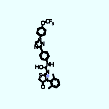 Cc1cccc(C)c1N1C(=O)CS/C1=N\C(O)Nc1ccc(-c2ncn(-c3ccc(OC(F)(F)F)cc3)n2)cc1